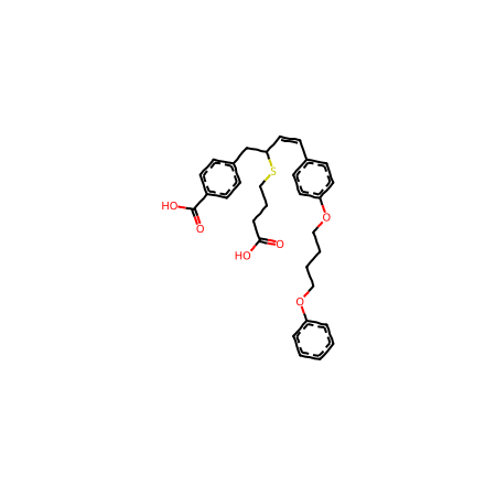 O=C(O)CCCSC(/C=C\c1ccc(OCCCCOc2ccccc2)cc1)Cc1ccc(C(=O)O)cc1